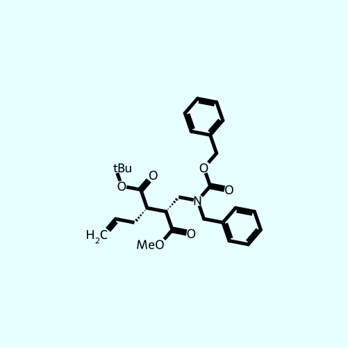 C=CC[C@H](C(=O)OC(C)(C)C)[C@H](CN(Cc1ccccc1)C(=O)OCc1ccccc1)C(=O)OC